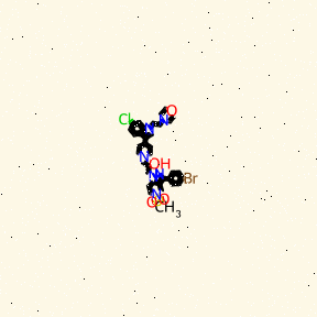 CS(=O)(=O)N1CCc2c(c(-c3ccc(Br)cc3)nn2CC(O)CN2CCC(c3cn(CCN4CCOCC4)c4cc(Cl)ccc34)CC2)C1